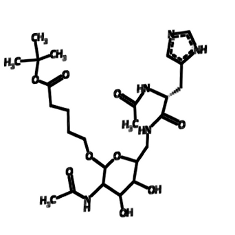 CC(=O)NC1C(OCCCCC(=O)OC(C)(C)C)OC(CNC(=O)[C@@H](Cc2cnc[nH]2)NC(C)=O)C(O)C1O